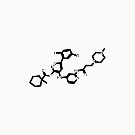 CN1CCN(CCC(=O)Nc2cc(Nc3cc(-c4cc(Cl)ccc4F)nnc3OC(=O)C3(C)CCCCC3)ccn2)CC1